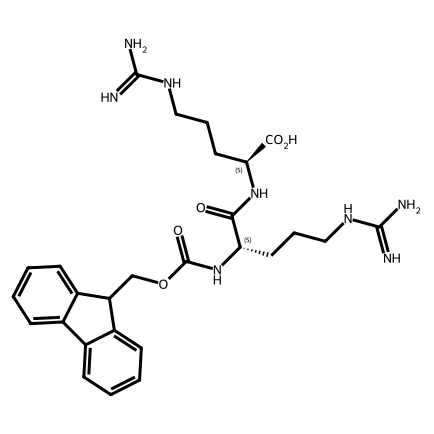 N=C(N)NCCC[C@H](NC(=O)[C@H](CCCNC(=N)N)NC(=O)OCC1c2ccccc2-c2ccccc21)C(=O)O